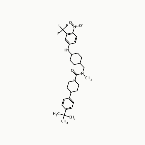 CN(CC1CCC(Nc2ccc([N+](=O)[O-])c(C(F)(F)F)c2)CC1)C(=O)N1CCN(c2ccc(C(C)(C)C)cc2)CC1